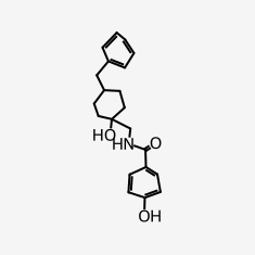 O=C(NCC1(O)CCC(Cc2ccccc2)CC1)c1ccc(O)cc1